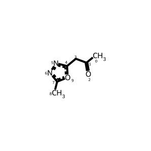 CC(=O)Cc1nnc(C)o1